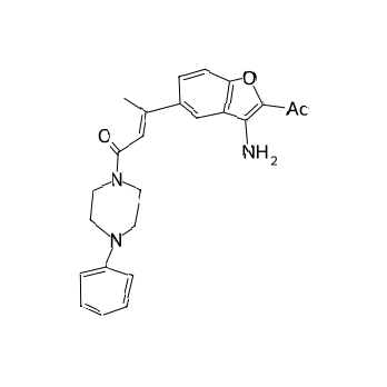 CC(=O)c1oc2ccc(C(C)=CC(=O)N3CCN(c4ccccc4)CC3)cc2c1N